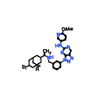 C=C(NCc1cccc(-n2nnc3cnc(Nc4ccc(OC)nc4)nc32)c1)C1CC2CC(CC)C[C@H](C2)C1